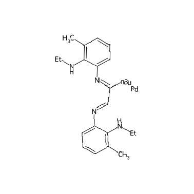 CCCCC(C=Nc1cccc(C)c1NCC)=Nc1cccc(C)c1NCC.[Pd]